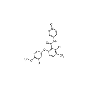 O=C(Nc1cc[n+]([O-])nc1)c1c(Oc2ccc(OC(F)(F)F)c(F)c2)ccc(C(F)(F)F)c1Cl